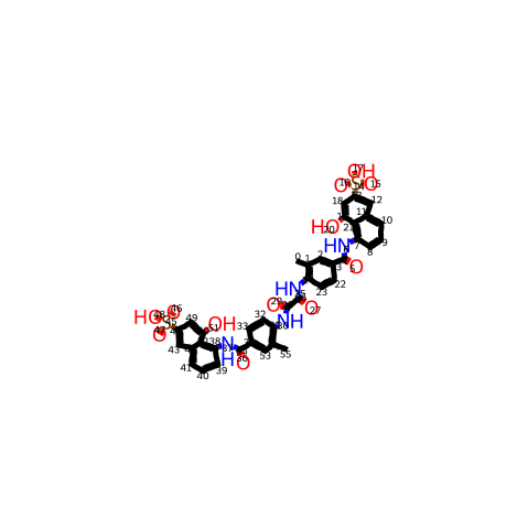 Cc1cc(C(=O)Nc2cccc3cc(S(=O)(=O)O)cc(O)c23)ccc1NC(=O)C(=O)Nc1ccc(C(=O)Nc2cccc3cc(S(=O)(=O)O)cc(O)c23)cc1C